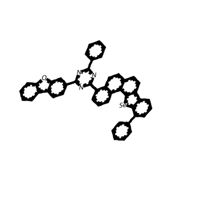 c1ccc(-c2nc(-c3ccc4c(c3)oc3ccccc34)nc(-c3cccc4c3ccc3ccc5c6cccc(-c7ccccc7)c6[se]c5c34)n2)cc1